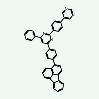 c1ccc(-c2cc(-c3ccc(-c4ccc5c6c(cccc46)-c4ccccc4-5)cc3)nc(-c3ccc(-c4cncnc4)cc3)n2)cc1